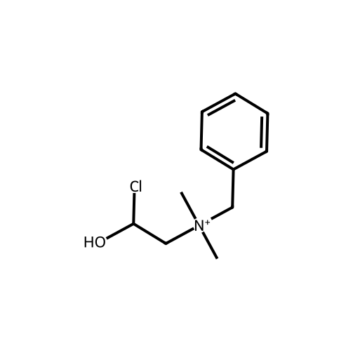 C[N+](C)(Cc1ccccc1)CC(O)Cl